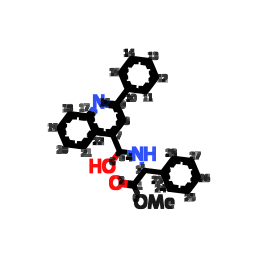 COC(=O)[C@H](NC(O)c1cc(-c2ccccc2)nc2ccccc12)c1ccccc1